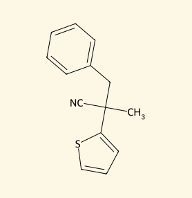 CC(C#N)(Cc1ccccc1)c1cccs1